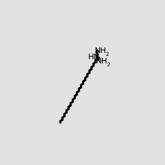 CCCCCCCCCCCCCCCCCCCCCCCCCCCCCCCCCCCCC(C)(N)NCCN